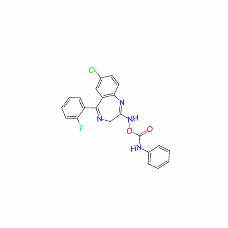 O=C(Nc1ccccc1)ONC1=Nc2ccc(Cl)cc2C(c2ccccc2F)=NC1